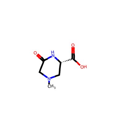 CN1CC(=O)N[C@H](C(=O)O)C1